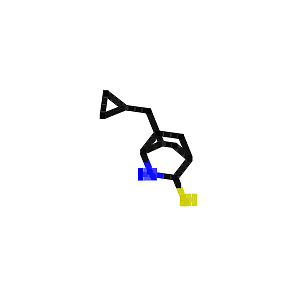 SC1NC2CCC1CC2CC1CC1